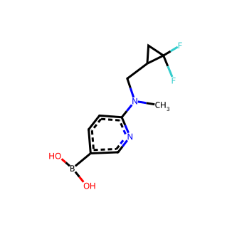 CN(CC1CC1(F)F)c1ccc(B(O)O)cn1